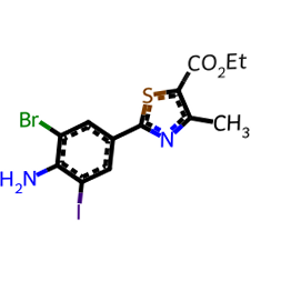 CCOC(=O)c1sc(-c2cc(Br)c(N)c(I)c2)nc1C